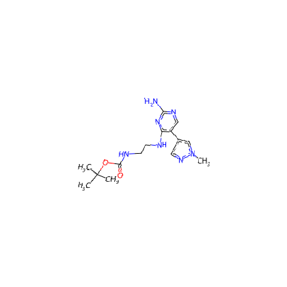 Cn1cc(-c2cnc(N)nc2NCCNC(=O)OC(C)(C)C)cn1